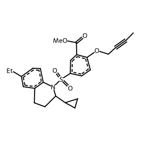 CC#CCOc1ccc(S(=O)(=O)N2c3ccc(CC)cc3CCC2C2CC2)cc1C(=O)OC